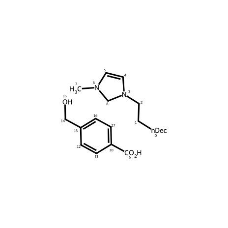 CCCCCCCCCCCCN1C=CN(C)C1.O=C(O)c1ccc(CO)cc1